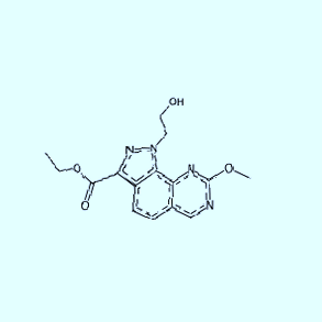 CCOC(=O)c1nn(CCO)c2c1ccc1cnc(OC)nc12